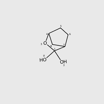 OC1(O)OC2CCC1C2